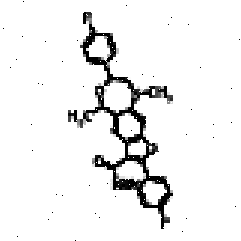 CNC(=O)c1c(-c2ccc(F)cc2)oc2cc3c(cc12)C(C)OC(c1ccc(F)cc1)CN3C